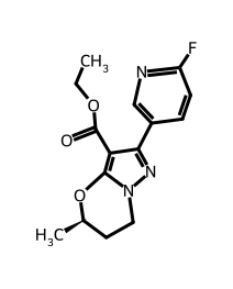 CCOC(=O)c1c(-c2ccc(F)nc2)nn2c1O[C@H](C)CC2